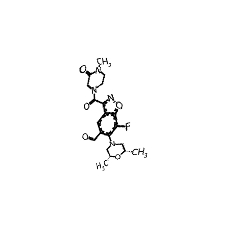 C[C@@H]1CN(c2c(C=O)cc3c(C(=O)N4CCN(C)C(=O)C4)noc3c2F)C[C@H](C)O1